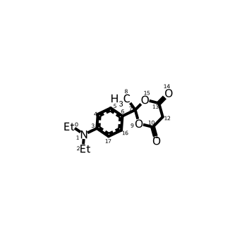 CCN(CC)c1ccc(C2(C)OC(=O)CC(=O)O2)cc1